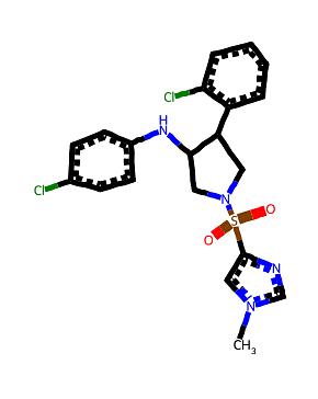 Cn1cnc(S(=O)(=O)N2CC(Nc3ccc(Cl)cc3)C(c3ccccc3Cl)C2)c1